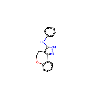 c1ccc(Nc2[nH]nc3c2CCOc2ccccc2-3)cc1